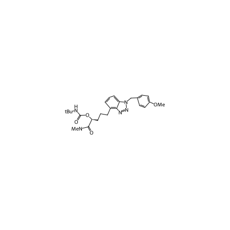 CNC(=O)[C@H](CCCc1cccc2c1nnn2Cc1ccc(OC)cc1)OC(=O)NC(C)(C)C